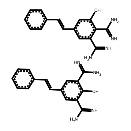 N=C(N)c1cc(C=Cc2ccccc2)cc(C(=N)N)c1O.N=C(N)c1cc(C=Cc2ccccc2)cc(O)c1C(=N)N